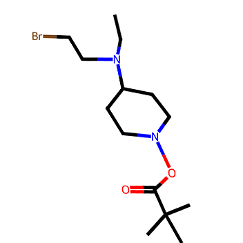 CCN(CCBr)C1CCN(OC(=O)C(C)(C)C)CC1